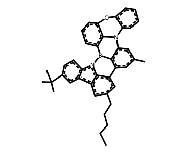 CCCCCc1cc2c3c(c1)c1cc(C(C)(C)C)ccc1n3B1c3cccc4c3N(c3ccccc3O4)c3cc(C)cc-2c31